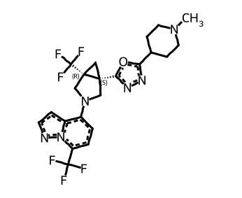 CN1CCC(c2nnc([C@]34CN(c5ccc(C(F)(F)F)n6nccc56)C[C@@]3(C(F)(F)F)C4)o2)CC1